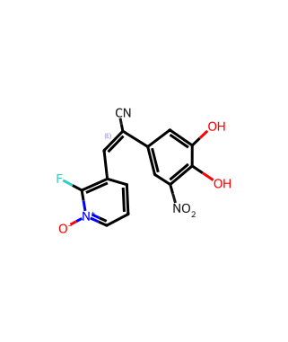 N#C/C(=C/c1ccc[n+]([O-])c1F)c1cc(O)c(O)c([N+](=O)[O-])c1